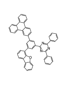 c1ccc(-c2nc(-c3ccccc3)nc(-c3cc(-c4ccc5c6ccccc6c6ccccc6c5c4)cc(-c4cccc5c4oc4ccccc45)c3)n2)cc1